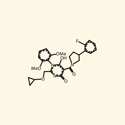 COc1cccc(OC)c1-n1c(COC2CC2)nc(=O)c(C(=O)N2CCC(c3ccccc3F)C2)c1O